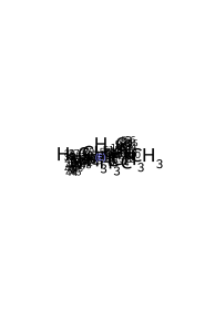 Cc1cc(C)cc(N(c2ccc3c(c2)C(C)(C)c2cc(/C=C/c4ccc5c(c4)C(C)(C)c4cc(N(c6ccccc6)c6ccccc6)ccc4-5)ccc2-3)c2ccccc2C)c1